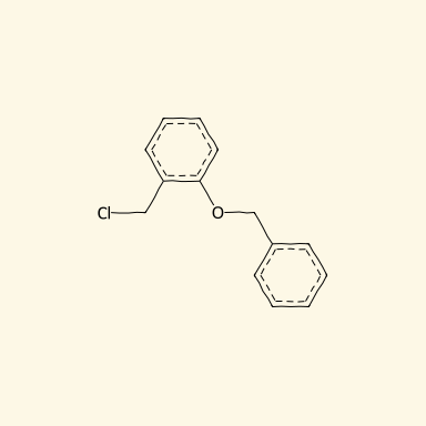 ClCc1ccccc1OCc1ccccc1